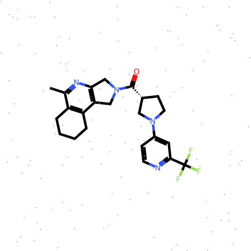 Cc1nc2c(c3c1CCCC3)CN(C(=O)[C@@H]1CCN(c3ccnc(C(F)(F)F)c3)C1)C2